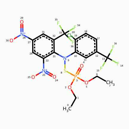 CCOP(=O)(OCC)SN(c1cc(C(F)(F)F)ccc1Cl)c1c([N+](=O)[O-])cc([N+](=O)[O-])cc1C(F)(F)F